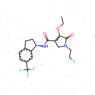 CCOC1=C(C(=O)N[C@@H]2CCc3ccc(C(F)(F)F)cc32)CN(CCF)C1=O